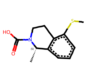 CSc1cccc2c1CCN(C(=O)O)[C@H]2C